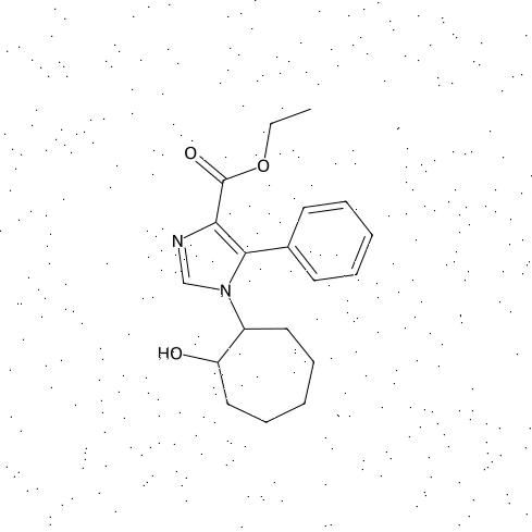 CCOC(=O)c1ncn(C2CCCCCC2O)c1-c1ccccc1